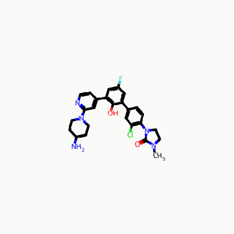 CN1CCN(c2ccc(-c3cc(F)cc(-c4ccnc(N5CCC(N)CC5)c4)c3O)cc2Cl)C1=O